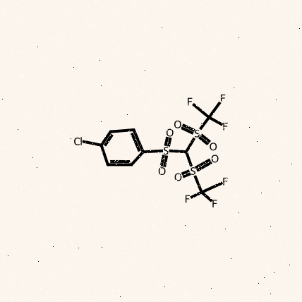 O=S(=O)(c1ccc(Cl)cc1)C(S(=O)(=O)C(F)(F)F)S(=O)(=O)C(F)(F)F